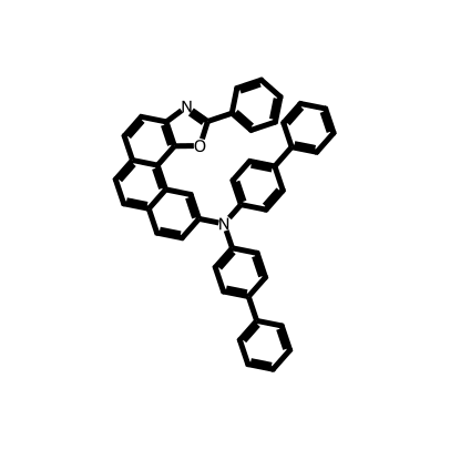 c1ccc(-c2ccc(N(c3ccc(-c4ccccc4)cc3)c3ccc4ccc5ccc6nc(-c7ccccc7)oc6c5c4c3)cc2)cc1